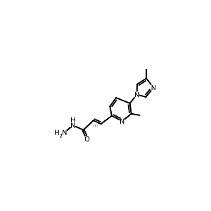 Cc1cn(-c2ccc(/C=C/C(=O)NN)nc2C)cn1